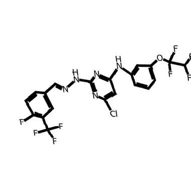 Fc1ccc(/C=N/Nc2nc(Cl)cc(Nc3cccc(OC(F)(F)C(F)F)c3)n2)cc1C(F)(F)F